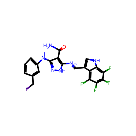 NC(=O)c1c(Nc2cccc(CI)c2)n[nH]c1/N=C/c1c[nH]c2c(F)c(F)c(F)c(F)c12